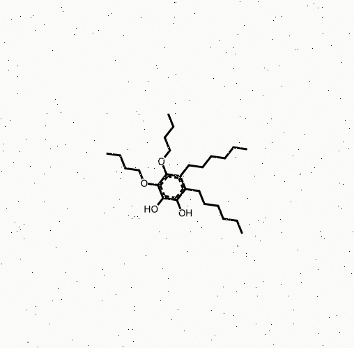 CCCCCCc1c(O)c(O)c(OCCCC)c(OCCCC)c1CCCCCC